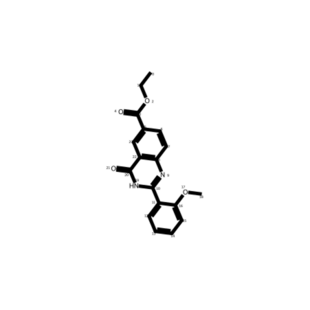 CCOC(=O)c1ccc2nc(-c3ccccc3OC)[nH]c(=O)c2c1